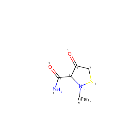 CCCCCN1SCC(=O)C1C(N)=O